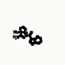 CC(C)(C)C1(C(N)=O)SC=CC1NC(=O)c1cnn2cccnc12